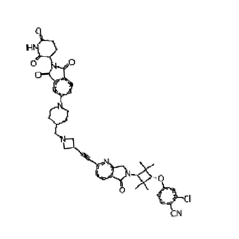 CC1(C)[C@H](Oc2ccc(C#N)c(Cl)c2)C(C)(C)[C@H]1N1Cc2nc(C#CC3CN(CC4CCN(c5ccc6c(c5)C(=O)N(C5CCC(=O)NC5=O)C6=O)CC4)C3)ccc2C1=O